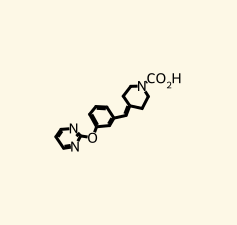 O=C(O)N1CCC(=Cc2cccc(Oc3ncccn3)c2)CC1